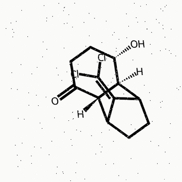 O=C1CC[C@H](O)[C@H]2C3CCC(C3=C(Cl)Cl)[C@H]12